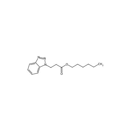 CCCCCCOC(=O)CCn1nnc2ccccc21